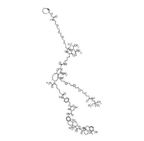 CC(C)[C@H](NC(=O)[C@@H](CCCCNC(=O)COC1CCCC(N(CCCCC(=O)Nc2ccc(COC(=O)N[C@@H](CO)C(=O)Nc3ccc4c(c3)[C@@]3(C)CCC[C@](C)(C(=O)NC(=O)[C@@]5(C)CCC[C@]6(C)c7cc(O)ccc7CC[C@@H]56)[C@@H]3CC4)cc2)C(N)=O)C/C(NCCOCCOCCOCCOCCC(=O)NCC[N+](C)(C)C)=C\1NN)NC(=O)CCOCCOCCOCCOCCNC(=O)COC1C#CCCCCC1)C(N)=O